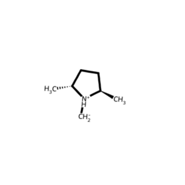 [CH2-][NH+]1[C@H](C)CC[C@H]1C